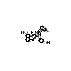 C#Cc1c(F)ccc2cc(O)cc(-c3ncc4c(N5CC6CC(O)CC5C6)nc(OC[C@@]56CCCN5C[C@H](F)C6)nc4c3F)c12